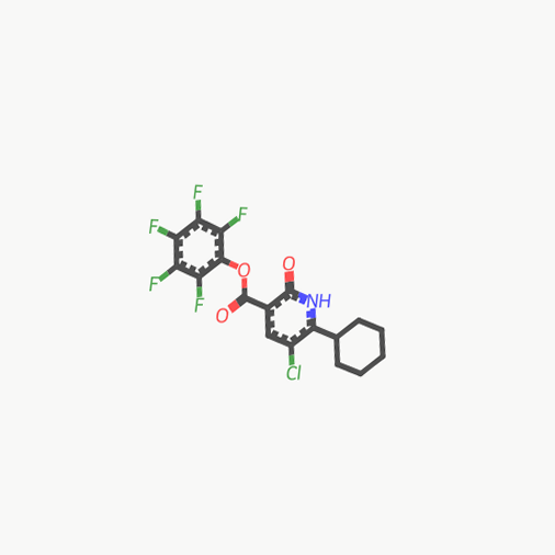 O=C(Oc1c(F)c(F)c(F)c(F)c1F)c1cc(Cl)c(C2CCCCC2)[nH]c1=O